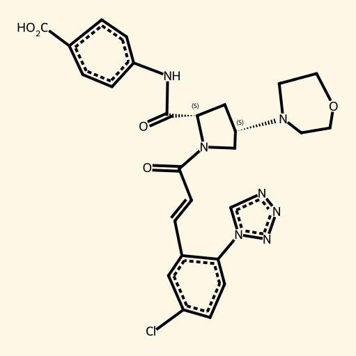 O=C(O)c1ccc(NC(=O)[C@@H]2C[C@H](N3CCOCC3)CN2C(=O)C=Cc2cc(Cl)ccc2-n2cnnn2)cc1